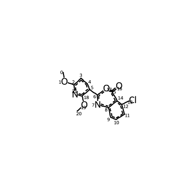 COc1ccc(-c2nc3cccc(Cl)c3c(=O)o2)c(OC)n1